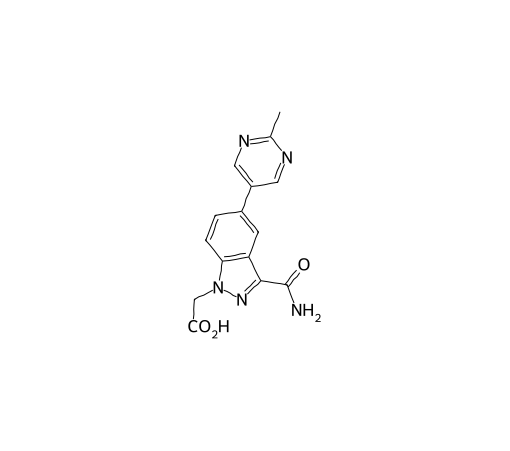 Cc1ncc(-c2ccc3c(c2)c(C(N)=O)nn3CC(=O)O)cn1